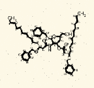 CCCCCCCCCCC[C@H](CC(=O)NC1C(OC(=O)C[C@@H](CCCCCCCCCCC)OCc2ccccc2)CC(CO)O[C@@H]1OCc1ccccc1)OCc1ccccc1